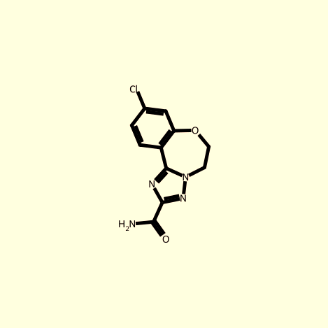 NC(=O)c1nc2n(n1)CCOc1cc(Cl)ccc1-2